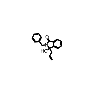 C=CCC1(O)c2ccccc2C(=O)N1Cc1ccccc1